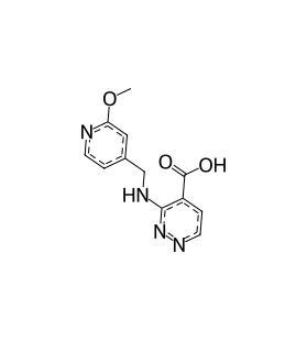 COc1cc(CNc2nnccc2C(=O)O)ccn1